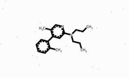 CCCN(CCC)c1cc(-c2ccccc2C)c(C)cn1